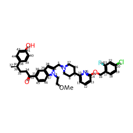 COCCn1c(CN2CCC(c3cccc(OCc4ccc(Cl)cc4F)n3)CC2)cc2cc(C(=O)CC[C@@H](C)c3ccc(O)cc3)ccc21